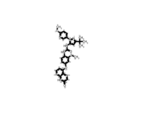 COc1ccc(-n2nc(C(C)(C)C)cc2NC(=O)Nc2ccc(Oc3ccnc4[nH]c(=O)cnc34)cc2SC)cn1